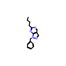 CCCCc1n[c]c2cnn(Cc3ccccc3)c2n1